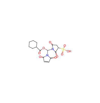 O=C(OC(N1C(=O)C=CC1=O)N1C(=O)CC(S(=O)(=O)O)C1=O)C1CCCCC1